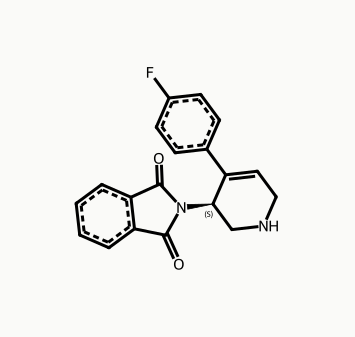 O=C1c2ccccc2C(=O)N1[C@@H]1CNCC=C1c1ccc(F)cc1